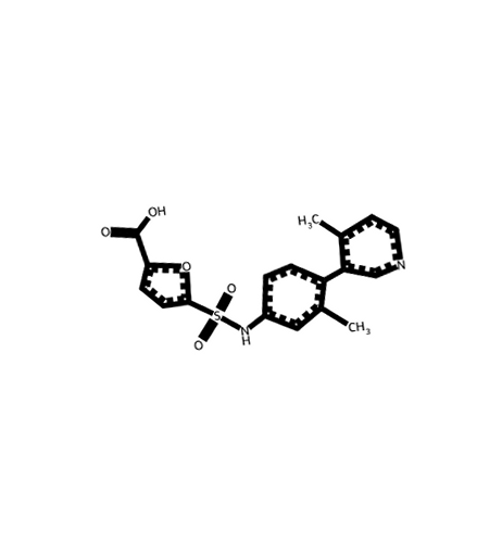 Cc1cc(NS(=O)(=O)c2ccc(C(=O)O)o2)ccc1-c1cnccc1C